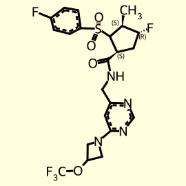 C[C@@H]1C(S(=O)(=O)c2ccc(F)cc2)[C@H](C(=O)NCc2cc(N3CC(OC(F)(F)F)C3)ncn2)C[C@H]1F